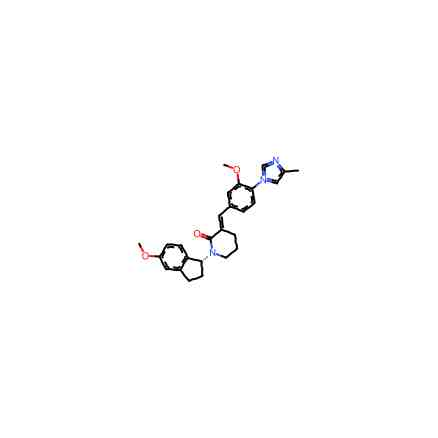 COc1ccc2c(c1)CC[C@H]2N1CCC/C(=C\c2ccc(-n3cnc(C)c3)c(OC)c2)C1=O